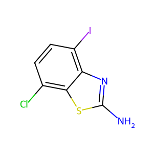 Nc1nc2c(I)ccc(Cl)c2s1